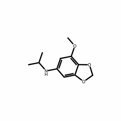 COc1cc(NC(C)C)cc2c1OCO2